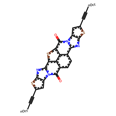 CCCCCCCCC#Cc1cc2c(nc3c4ccc5c(=O)n6c7cc(C#CCCCCCCCC)sc7nc6c6sc(c(=O)n23)c4c56)s1